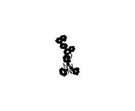 C1=CCCC(c2nc(-c3ccccc3)nc(-c3ccc4c(c3)oc3c5ccccc5c(-c5ccc(-c6cccc7ccccc67)cc5)cc43)n2)=C1